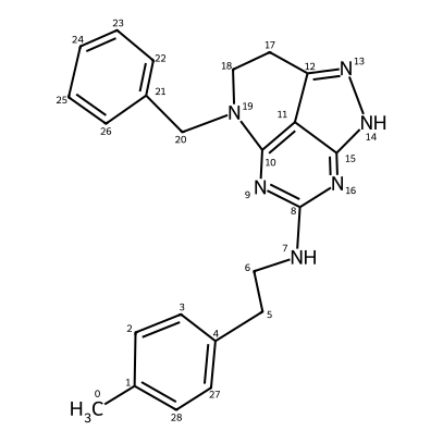 Cc1ccc(CCNc2nc3c4c(n[nH]c4n2)CCN3Cc2ccccc2)cc1